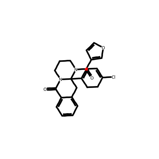 O=C(c1ccoc1)N1CCCN2C(=O)c3ccccc3CC12C1=CC=C(Cl)CC1